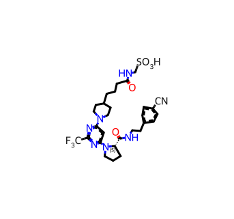 N#Cc1ccc(CCNC(=O)[C@@H]2CCCN2c2cc(N3CCC(CCCC(=O)NCS(=O)(=O)O)CC3)nc(C(F)(F)F)n2)cc1